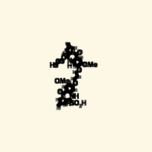 C=C1C[C@H]2C(OOOS)Nc3cc(OCCCOc4cc5c(cc4OC)C(=O)N4CC(=C)C[C@H]4C(S(=O)(=O)O)N5)c(OC)cc3C(=O)N2C1